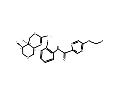 NC1=N[C@@]2(c3cccc(NC(=O)c4cnc(OCF)cn4)c3F)COC[C@@H](F)[C@H]2CS1